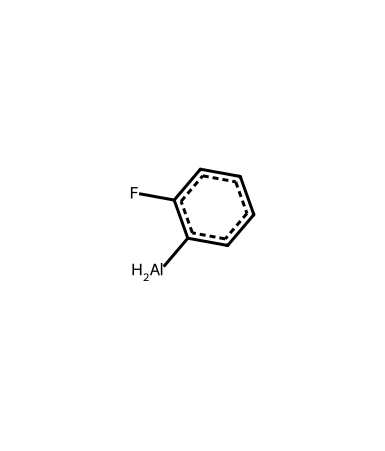 Fc1cccc[c]1[AlH2]